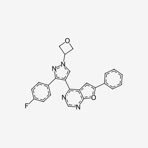 Fc1ccc(-c2nn(C3COC3)cc2-c2ncnc3oc(-c4ccccc4)cc23)cc1